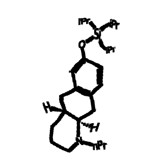 CCCN1CCC[C@@H]2Cc3[c]c(O[Si](C(C)C)(C(C)C)C(C)C)ccc3C[C@H]21